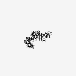 CCN(CC)CC(O)CNC(=O)c1ccc(C#Cc2c(N)ncc3ccc(Cl)cc23)c2cc[nH]c12